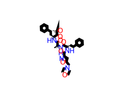 C[C@H](NC(=O)[C@H](CCc1ccccc1)NC(=O)c1cc(CN2CCOCC2)on1)C(=O)N[C@@H](CCc1ccccc1)C(=O)[C@@]1(C)CO1